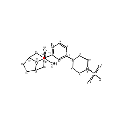 CS(=O)(=O)N1CCN(c2ccnc(N3CC4CCC(C3)N4C(=O)O)c2)CC1